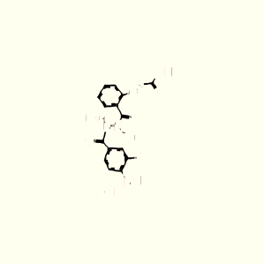 CCN(C(=O)c1ccccc1OSC(C)=S)N(C(=O)c1ccc(NC=O)c(Cl)c1)C(C)(C)C